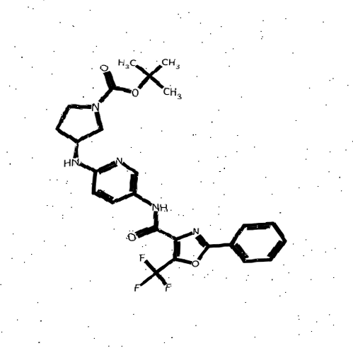 CC(C)(C)OC(=O)N1CC[C@H](Nc2ccc(NC(=O)c3nc(-c4ccccc4)oc3C(F)(F)F)cn2)C1